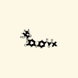 CC(C)(C)NC(=O)Nc1ccc(Sc2ccc(NC(=O)C(C)(O)C(F)(F)F)c(Cl)c2)cc1